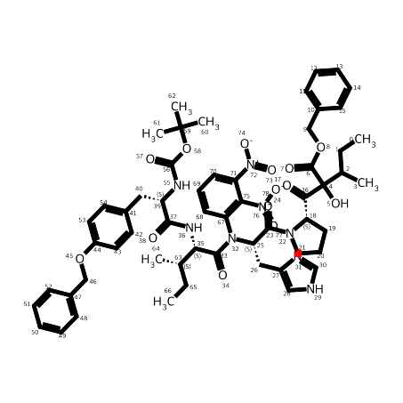 CCC(C)C(O)(C(=O)OCc1ccccc1)C(=O)[C@@H]1CCCN1C(=O)[C@H](Cc1c[nH]cn1)N(C(=O)[C@@H](NC(=O)[C@H](Cc1ccc(OCc2ccccc2)cc1)NC(=O)OC(C)(C)C)[C@@H](C)CC)c1cccc([N+](=O)[O-])c1[N+](=O)[O-]